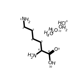 Cl.NCCCCC(N)C(=O)O.O.O.O